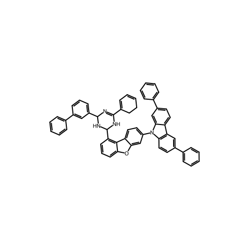 C1=CCCC(C2=NC(c3cccc(-c4ccccc4)c3)NC(c3cccc4oc5cc(-n6c7ccc(-c8ccccc8)cc7c7ccc(-c8ccccc8)cc76)ccc5c34)N2)=C1